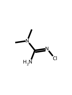 CN(C)C(N)=NCl